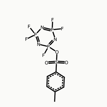 Cc1ccc(S(=O)(=O)OP2(F)=NP(F)(F)=NP(F)(F)=N2)cc1